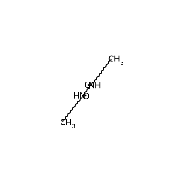 CCCCCCCCCCCCCCCCCNC(=O)CCCCC(=O)NCCCCCCCCCCCCCCCCC